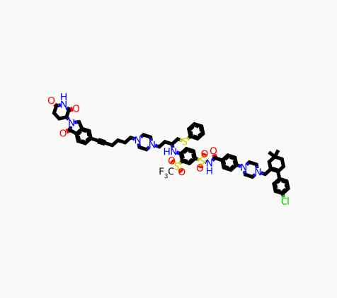 CC1(C)CCC(c2ccc(Cl)cc2)=C(CN2CCN(c3ccc(C(=O)NS(=O)(=O)c4ccc(NC(CCN5CCN(CCCCC#Cc6ccc7c(c6)CN(C6CCC(=O)NC6=O)C7=O)CC5)CSc5ccccc5)c(S(=O)(=O)C(F)(F)F)c4)cc3)CC2)C1